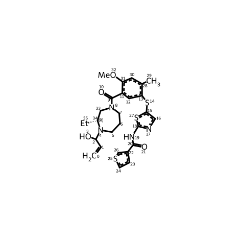 C=CC(O)N1CCCN(C(=O)c2cc(Sc3cnc(NC(=O)c4ccsc4)s3)c(C)cc2OC)C[C@H]1CC